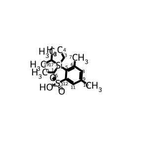 CC[Si](CC)(c1c(C)cc(C)cc1S(=O)(=O)O)C(C)C